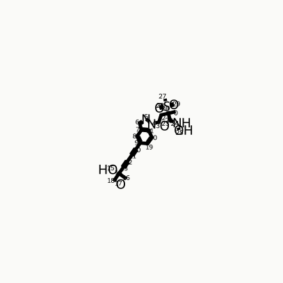 CC(CCn1ncc2cc(C#CC#CC3(O)COC3)ccc21)(C(=O)NO)S(C)(=O)=O